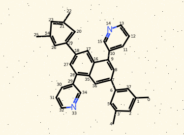 Cc1cc(C)cc(-c2cc(-c3cccnc3)c3cc(-c4cc(C)cc(C)c4)cc(-c4cccnc4)c3c2)c1